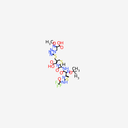 CON=C(Cn1nnnc1SCC1=C(C(=O)O)N2C(=O)C(NC(=O)C(=NOC(C)C)c3csc(NC(=O)C(F)(F)F)n3)[C@@H]2SC1)C(=O)O